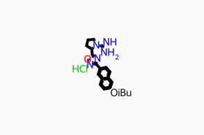 CC(C)COc1ccc2cc(-c3noc(C4CCCN4C(=N)N)n3)ccc2c1.Cl